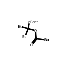 CCCCCC(CC)(CC)OC(=O)C(C)CC